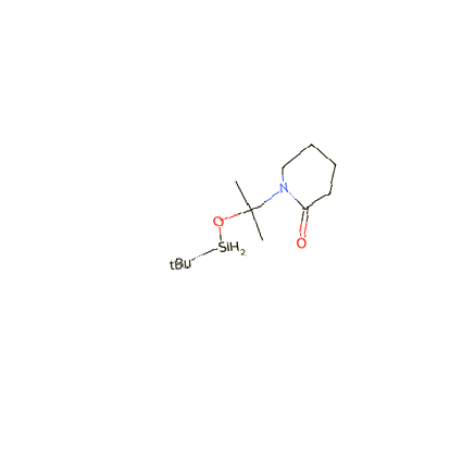 CC(C)(C)[SiH2]OC(C)(C)N1CCCCC1=O